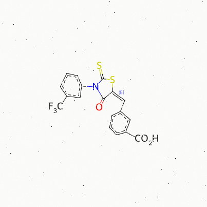 O=C(O)c1cccc(/C=C2/SC(=S)N(c3cccc(C(F)(F)F)c3)C2=O)c1